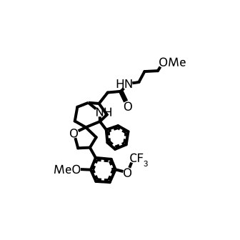 COCCCNC(=O)CC1CC2(c3ccccc3)NC1CCC21CC(c2cc(OC(F)(F)F)ccc2OC)CO1